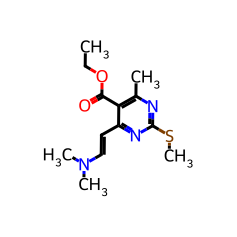 CCOC(=O)c1c(C)nc(SC)nc1C=CN(C)C